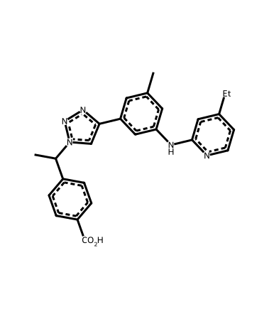 CCc1ccnc(Nc2cc(C)cc(-c3cn(C(C)c4ccc(C(=O)O)cc4)nn3)c2)c1